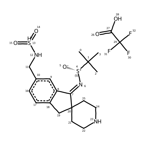 CC(C)(C)[S@@+]([O-])N=C1c2cc(CN[SH](=O)=O)ccc2CC12CCNCC2.O=C(O)C(F)(F)F